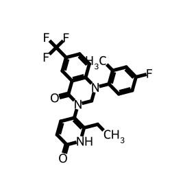 CCc1[nH]c(=O)ccc1N1CN(c2ccc(F)cc2C)c2ccc(C(F)(F)F)cc2C1=O